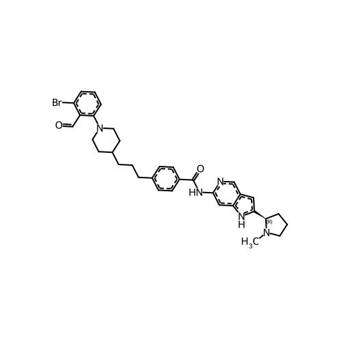 CN1CCC[C@@H]1c1cc2cnc(NC(=O)c3ccc(CCCC4CCN(c5cccc(Br)c5C=O)CC4)cc3)cc2[nH]1